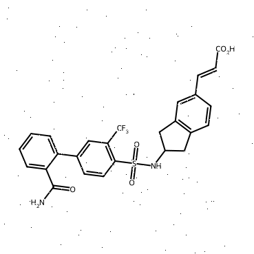 NC(=O)c1ccccc1-c1ccc(S(=O)(=O)NC2Cc3ccc(C=CC(=O)O)cc3C2)c(C(F)(F)F)c1